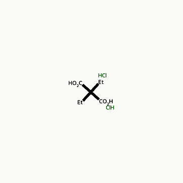 CCC(CC)(C(=O)O)C(=O)O.Cl.Cl